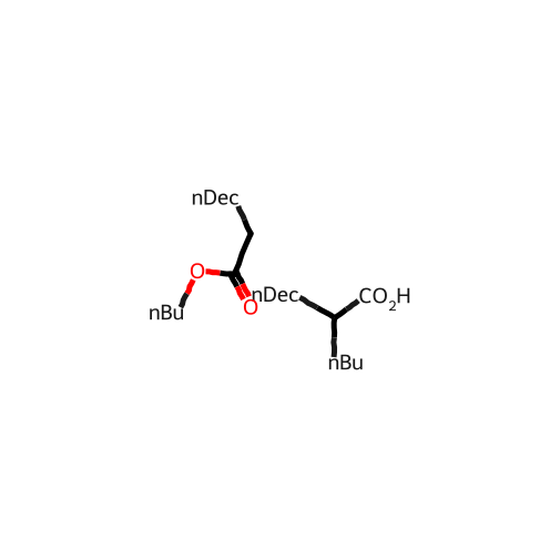 CCCCCCCCCCC(CCCC)C(=O)O.CCCCCCCCCCCC(=O)OCCCC